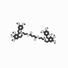 COc1ccc(CC2c3c(cc(OC)c(OC)c3OC)CC[N+]2(C)CCCOC(=O)CCC(=O)OCCC[N+]2(C)CCc3cc(OC)c(OC)c(OC)c3C2c2ccc(OC)c(OC)c2)cc1OC